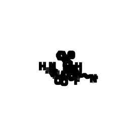 CN(C)CCCCNc1c(F)cc2c(=O)c(C(=O)N3CC[C@H](N)C3)cn3c4cc5c(cc4oc1c23)c(=O)c1ccccc15